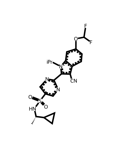 CC(C)n1c(-c2ncc(S(=O)(=O)N[C@@H](C)C3CC3)cn2)c(C#N)c2ccc(OC(F)F)cc21